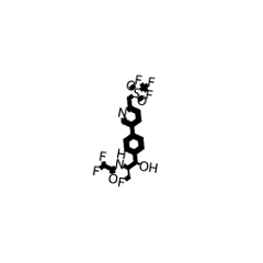 O=C(N[C@H](CF)[C@H](O)c1ccc(-c2ccc(CS(=O)(=O)C(F)(F)F)nc2)cc1)C(F)F